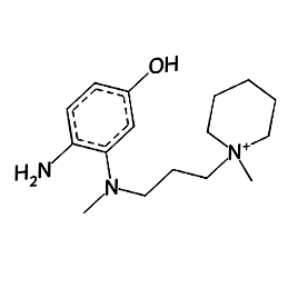 CN(CCC[N+]1(C)CCCCC1)c1cc(O)ccc1N